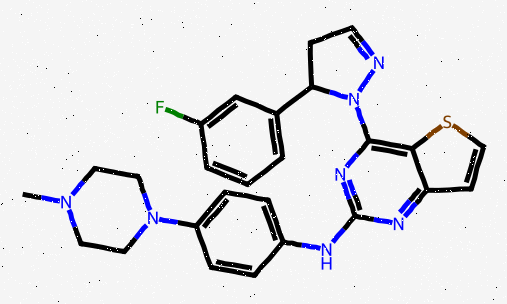 CN1CCN(c2ccc(Nc3nc(N4N=CCC4c4cccc(F)c4)c4sccc4n3)cc2)CC1